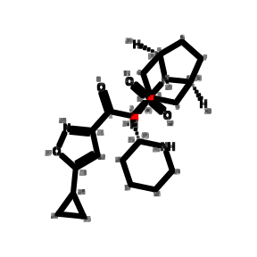 O=C(N[C@H]1C[C@H]2CC[C@@H](C1)N2S(=O)(=O)C[C@H]1CCCCN1)c1cc(C2CC2)on1